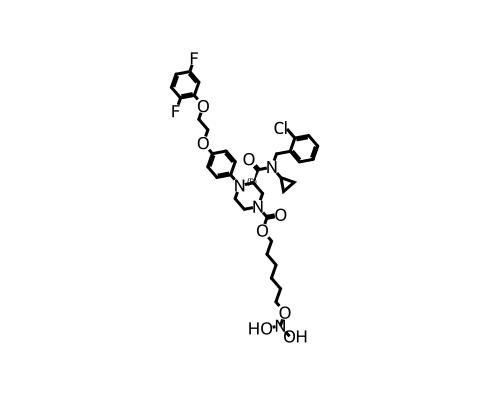 O=C(OCCCCCCON(O)O)N1CCN(c2ccc(OCCOc3cc(F)ccc3F)cc2)[C@@H](C(=O)N(Cc2ccccc2Cl)C2CC2)C1